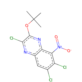 CC(C)(C)Oc1nc2c([N+](=O)[O-])c(Cl)c(Cl)cc2nc1Cl